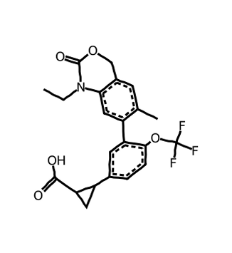 CCN1C(=O)OCc2cc(C)c(-c3cc(C4CC4C(=O)O)ccc3OC(F)(F)F)cc21